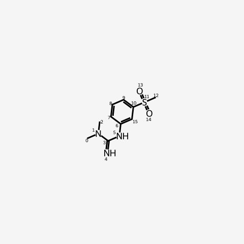 CN(C)C(=N)Nc1cccc(S(C)(=O)=O)c1